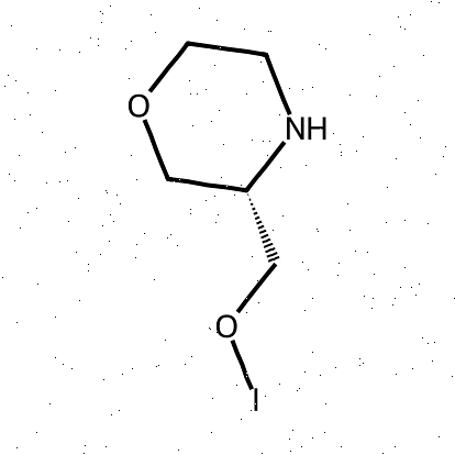 IOC[C@@H]1COCCN1